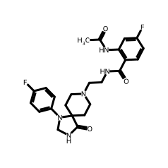 CC(=O)Nc1cc(F)ccc1C(=O)NCCN1CCC2(CC1)C(=O)NCN2c1ccc(F)cc1